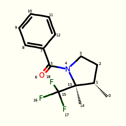 C[C@H]1CCN(C(=O)c2ccccc2)[C@]1(C)C(F)(F)F